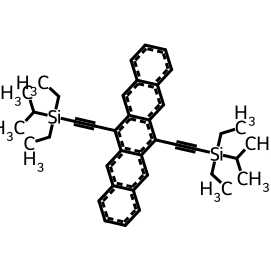 CC[Si](C#Cc1c2cc3ccccc3cc2c(C#C[Si](CC)(CC)C(C)C)c2cc3ccccc3cc12)(CC)C(C)C